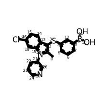 Cc1c(Sc2cccc(B(O)O)c2)c2ccc(Cl)cc2n1-c1cccnc1